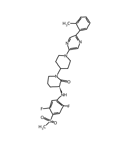 Cc1ccccc1-c1cnc(N2CCC(N3CCC[C@H](Nc4cc(F)c(S(C)(=O)=O)cc4F)C3=O)CC2)cn1